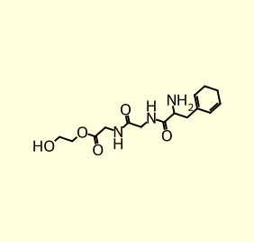 NC(CC1=CCCC=C1)C(=O)NCC(=O)NCC(=O)OCCO